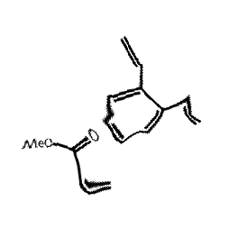 C=CC(=O)OC.C=Cc1ccccc1C=C